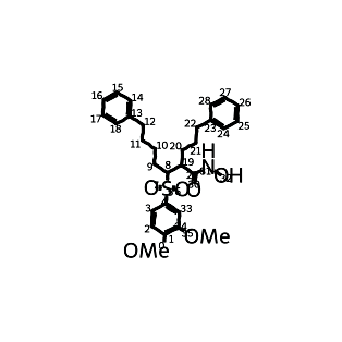 COc1ccc(S(=O)(=O)C(CCCCc2ccccc2)C(CCCc2ccccc2)C(=O)NO)cc1OC